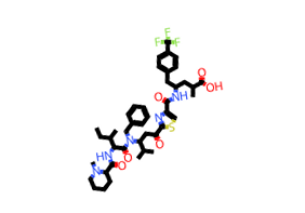 CCC(C)C(NC(=O)C1CCCCN1C)C(=O)N(Cc1ccccc1)C(CC(=O)c1nc(C(=O)NC(Cc2ccc(C(F)(F)F)cc2)CC(C)C(=O)O)cs1)C(C)C